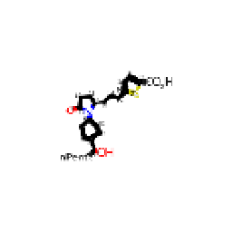 CCCCCC(O)c1ccc(N2C(=O)CC[C@H]2CCCc2ccc(C(=O)O)s2)cc1